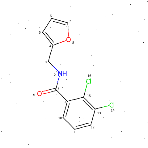 O=C(NCc1ccco1)c1cccc(Cl)c1Cl